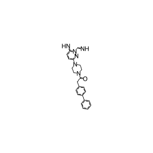 N=Cn1nc(N2CCN(C(=O)Cc3ccc(-c4ccccc4)cc3)CC2)ccc1=N